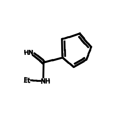 [CH2]CNC(=N)c1ccccc1